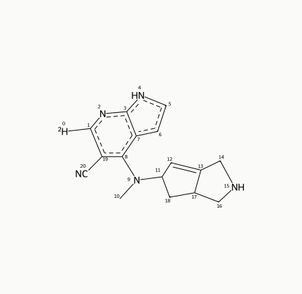 [2H]c1nc2[nH]ccc2c(N(C)C2C=C3CNCC3C2)c1C#N